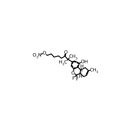 CC1=CC[C@@H]2[C@@H](C1)c1c(O)cc(C(C)(C)C(=O)CCCCCO[N+](=O)[O-])cc1OC2(F)F